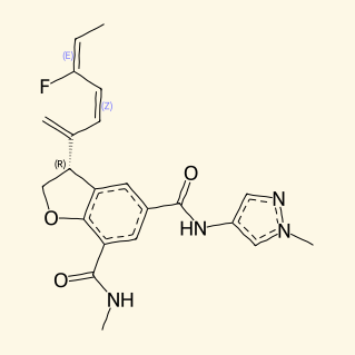 C=C(/C=C\C(F)=C/C)[C@H]1COc2c(C(=O)NC)cc(C(=O)Nc3cnn(C)c3)cc21